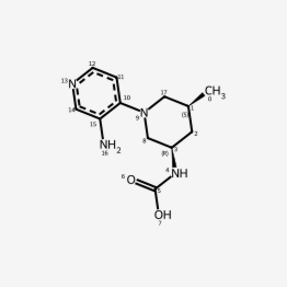 C[C@H]1C[C@@H](NC(=O)O)CN(c2ccncc2N)C1